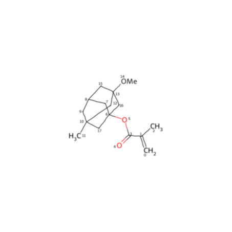 C=C(C)C(=O)OC12CC3CC(C)(CC(OC)(C3)C1)C2